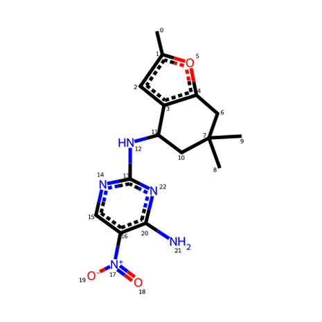 Cc1cc2c(o1)CC(C)(C)CC2Nc1ncc([N+](=O)[O-])c(N)n1